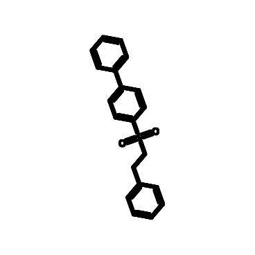 O=S(=O)(CCc1ccccc1)c1ccc(-c2ccccc2)cc1